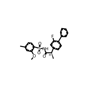 COc1cc(C)ccc1S(=O)(=O)NC(=O)[C@H](C)c1ccc(-c2ccccc2)c(F)c1